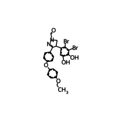 CCOc1ccc(Oc2ccc(C3=NN(C=O)CC3c3cc(O)c(O)c(Br)c3Br)cc2)cc1